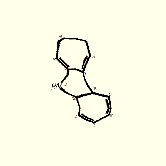 C1=CC2NC3=CCCC=C3C2C=C1